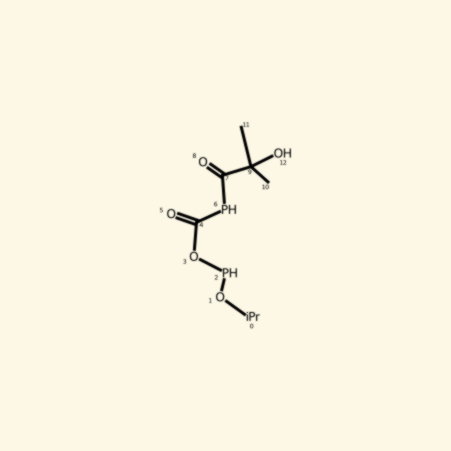 CC(C)OPOC(=O)PC(=O)C(C)(C)O